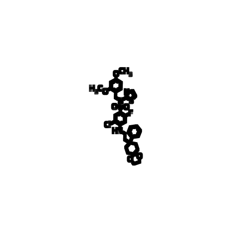 COc1ccc(CN(c2nccs2)S(=O)(=O)c2cc(Cl)c(NCCC3(c4ccccc4)CCC4(CC3)OCCO4)cc2F)c(OC)c1